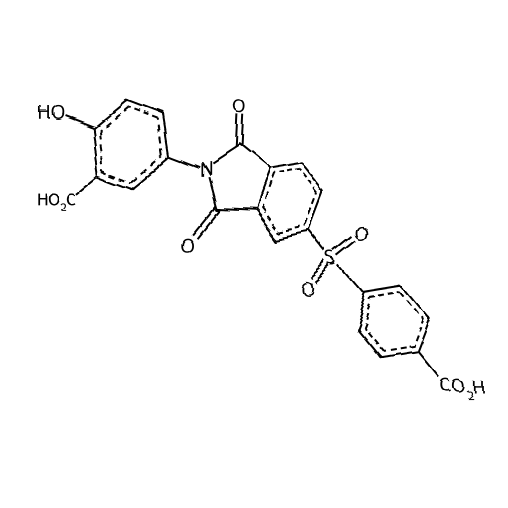 O=C(O)c1ccc(S(=O)(=O)c2ccc3c(c2)C(=O)N(c2ccc(O)c(C(=O)O)c2)C3=O)cc1